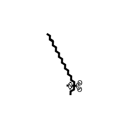 CCC=CCCCCCCCCCCCCCCC(CCC)(P(=O)=O)[N+](C)(C)C